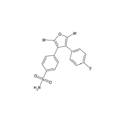 NS(=O)(=O)c1ccc(-c2c(Br)oc(Br)c2-c2ccc(F)cc2)cc1